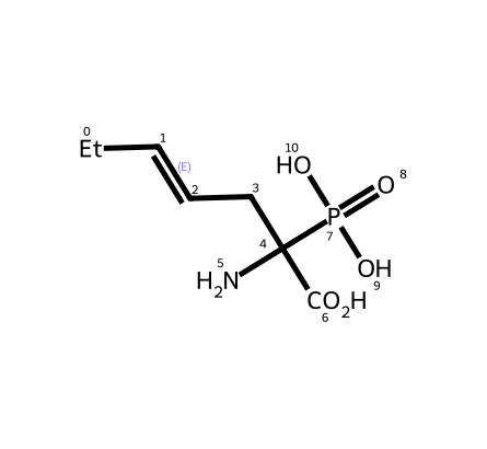 CC/C=C/CC(N)(C(=O)O)P(=O)(O)O